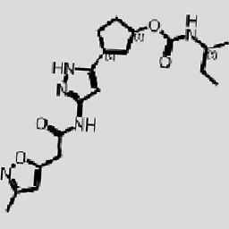 CC[C@H](C)NC(=O)O[C@@H]1CC[C@H](c2cc(NC(=O)Cc3cc(C)no3)n[nH]2)C1